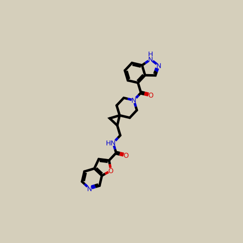 O=C(NCC1CC12CCN(C(=O)c1cccc3[nH]ncc13)CC2)c1cc2ccncc2o1